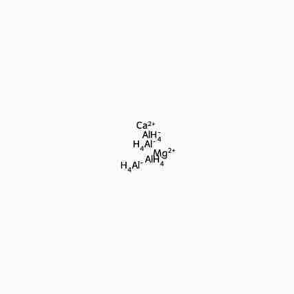 [AlH4-].[AlH4-].[AlH4-].[AlH4-].[Ca+2].[Mg+2]